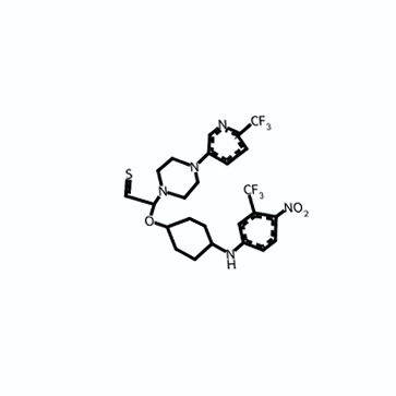 O=[N+]([O-])c1ccc(NC2CCC(OC(C=S)N3CCN(c4ccc(C(F)(F)F)nc4)CC3)CC2)cc1C(F)(F)F